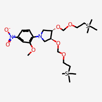 COc1cc([N+](=O)[O-])ccc1N1C[C@H](OCOCC[Si](C)(C)C)[C@@H](OCOCC[Si](C)(C)C)C1